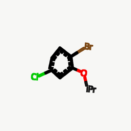 CC(C)Oc1cc(Cl)ccc1Br